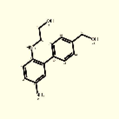 Nc1ccc(NCCO)c(-c2ccc(CO)cc2)c1